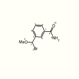 COC(Br)c1cccc(C(N)=O)c1